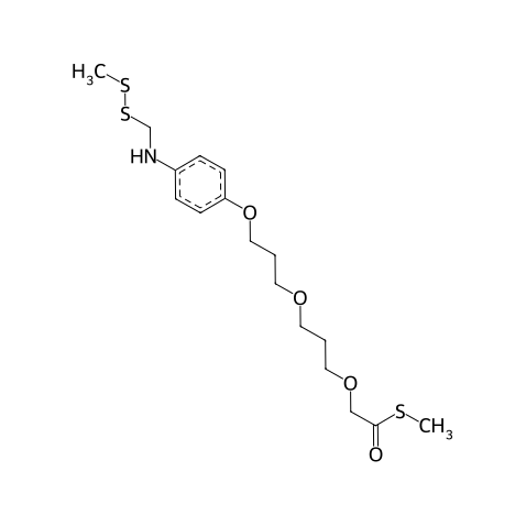 CSSCNc1ccc(OCCCOCCCOCC(=O)SC)cc1